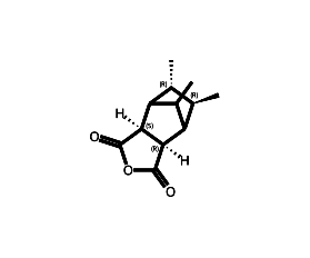 CC1C2[C@H]3C(=O)OC(=O)[C@H]3C1[C@H](C)[C@H]2C